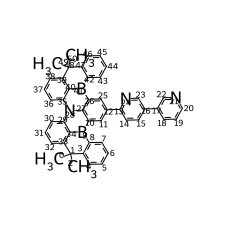 CC1(C)c2ccccc2B2c3cc(-c4ccc(-c5cccnc5)cn4)cc4c3N(c3cccc1c32)c1cccc2c1B4c1ccccc1C2(C)C